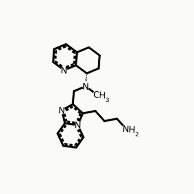 CN(Cc1nc2ccccn2c1CCCN)[C@H]1CCCc2cccnc21